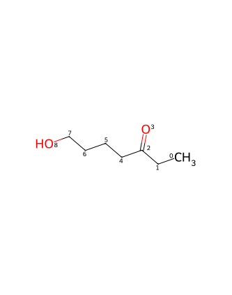 CCC(=O)CCCCO